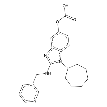 O=C(O)Oc1ccc2c(c1)nc(NCc1cccnc1)n2C1CCCCCC1